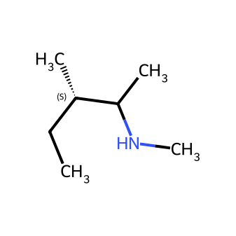 CC[C@H](C)C(C)NC